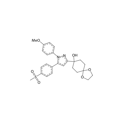 COc1ccc(-n2nc(C3(O)CCC4(CC3)OCCO4)cc2-c2ccc(S(C)(=O)=O)cc2)cc1